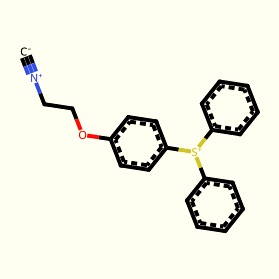 [C-]#[N+]CCOc1ccc([S+](c2ccccc2)c2ccccc2)cc1